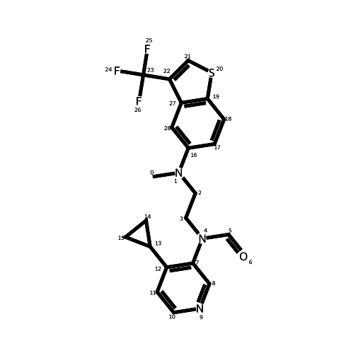 CN(CCN(C=O)c1cnccc1C1CC1)c1ccc2scc(C(F)(F)F)c2c1